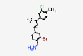 Cc1ccc(C(/C=C/c2ccc(CN)c(Br)c2)C(F)(F)F)cc1Cl